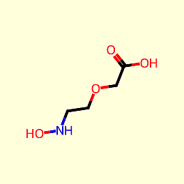 O=C(O)COCCNO